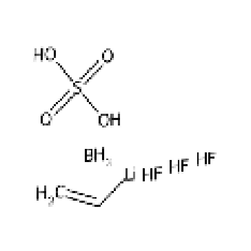 B.F.F.F.O=S(=O)(O)O.[Li][CH]=C